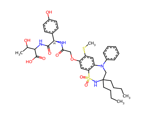 CCCCC1(CCCC)CN(c2ccccc2)c2cc(SC)c(OCC(=O)N[C@@H](C(=O)NC(C(=O)O)C(C)O)c3ccc(O)cc3)cc2S(=O)(=O)N1